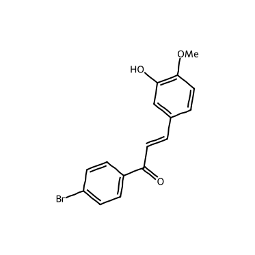 COc1ccc(/C=C/C(=O)c2ccc(Br)cc2)cc1O